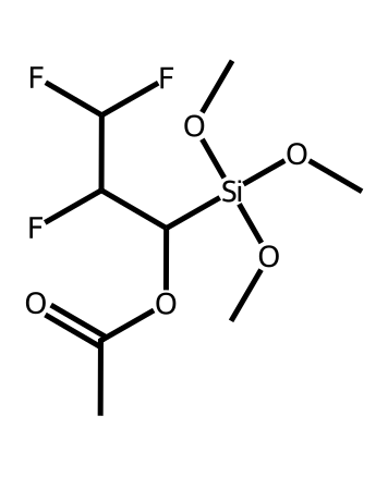 CO[Si](OC)(OC)C(OC(C)=O)C(F)C(F)F